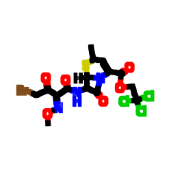 CON=C(C(=O)CBr)C(=O)NC1C(=O)N2C(C(=O)OCC(Cl)(Cl)Cl)=CC(C)S[C@@H]12